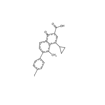 Cc1c(-c2ccc(I)cc2)ccn2c(=O)c(C(=O)O)cc(C3CC3)c12